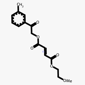 COCCOC(=O)/C=C/C(=O)OCC(=O)c1cccc(C)c1